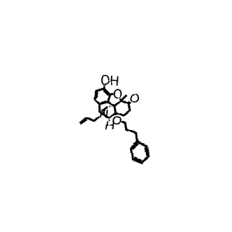 C=CCN1CC[C@]23c4c5ccc(O)c4OC2(C)C(=O)CC[C@@]3(OCCCc2ccccc2)[C@H]1C5